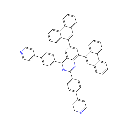 C1=NCCC(c2ccc(C3=Nc4c(-c5cc6ccccc6c6ccccc56)cc(-c5cc6ccccc6c6ccccc56)cc4C(c4ccc(-c5ccncc5)cc4)N3)cc2)=C1